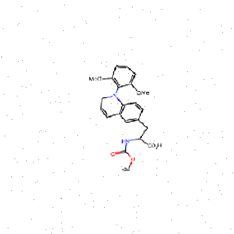 COc1cccc(OC)c1N1CC=Cc2cc(CC(NC(=O)OC(C)(C)C)C(=O)O)ccc21